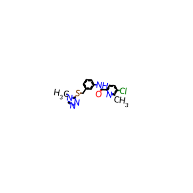 Cc1nc(C(=O)Nc2cccc(CSc3nncn3C)c2)ccc1Cl